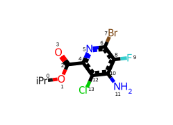 CC(C)OC(=O)c1nc(Br)c(F)c(N)c1Cl